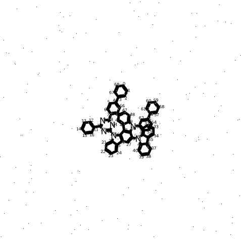 c1ccc(-c2ccc(-c3nc(-c4ccccc4)nc(-n4c5ccccc5c5cc(-n6c7ccccc7c7ccccc76)c6c(c7ccccc7n6-c6cccc(-c7ccccc7)c6)c54)n3)cc2)cc1